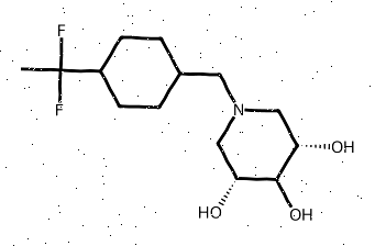 CC(F)(F)C1CCC(CN2C[C@@H](O)C(O)[C@@H](O)C2)CC1